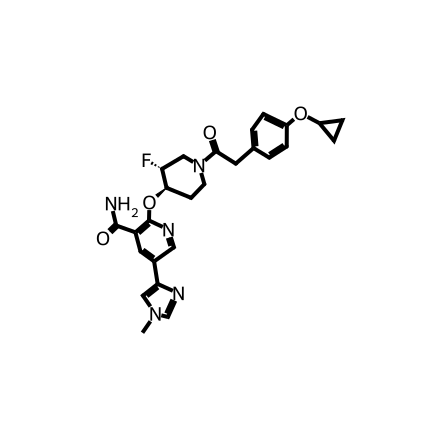 Cn1cnc(-c2cnc(O[C@@H]3CCN(C(=O)Cc4ccc(OC5CC5)cc4)C[C@H]3F)c(C(N)=O)c2)c1